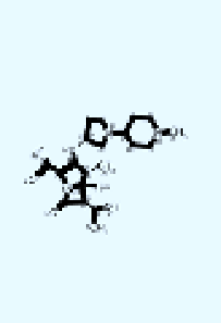 CC(O)[C@H]1C(=O)N2C(C(=O)O)=C(S[C@@H]3CCN(C4CCN(C)CC4)C3)[C@H](C)[C@H]12